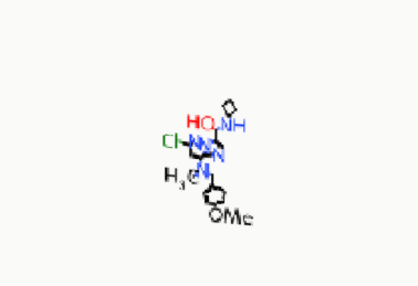 COc1ccc(CN(C)c2cc(Cl)nn3c(C(O)NC4CCC4)cnc23)cc1